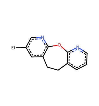 CCc1cnc2c(c1)CCc1cccnc1O2